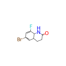 O=C1CCC2C=C(Br)C=C(F)C2N1